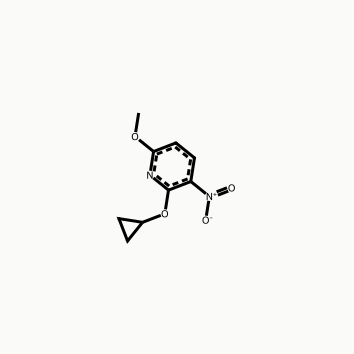 COc1ccc([N+](=O)[O-])c(OC2CC2)n1